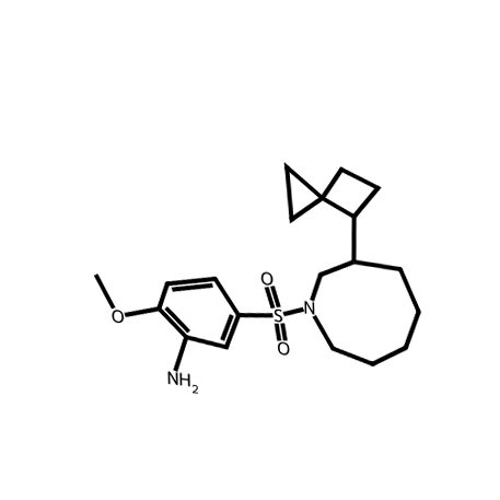 COc1ccc(S(=O)(=O)N2CCCCCC(C3CCC34CC4)C2)cc1N